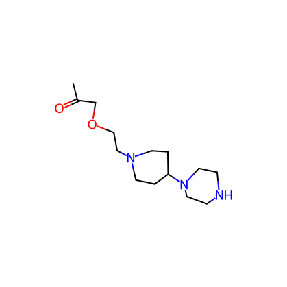 CC(=O)COCCN1CCC(N2CCNCC2)CC1